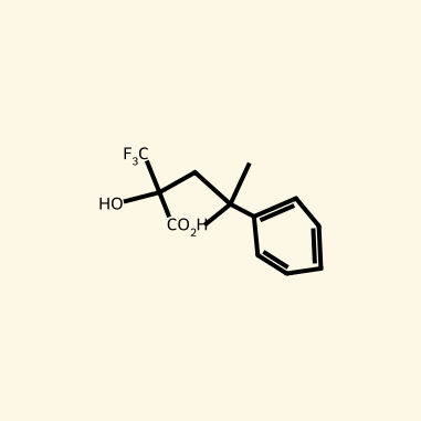 CC(C)(CC(O)(C(=O)O)C(F)(F)F)c1ccccc1